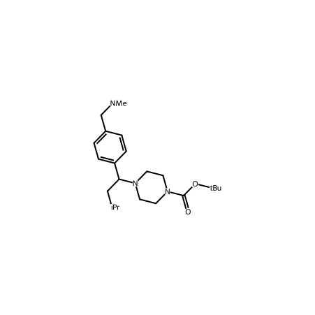 CNCc1ccc(C(CC(C)C)N2CCN(C(=O)OC(C)(C)C)CC2)cc1